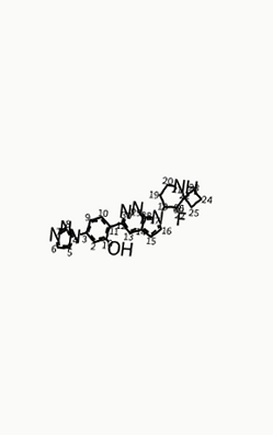 Oc1cc(-n2ccnn2)ccc1-c1cc2ccn(C3CCNC4(CCC4)[C@@H]3F)c2nn1